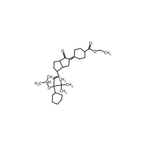 CCOC(=O)C1CCC(=C2CC3C(C=CC(O[SiH](C)C)(C4CCCCC4)C(C)(C)C)CCC3C2=O)CC1